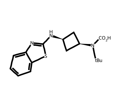 CC(C)(C)N(C(=O)O)[C@H]1C[C@@H](Nc2nc3ccccc3s2)C1